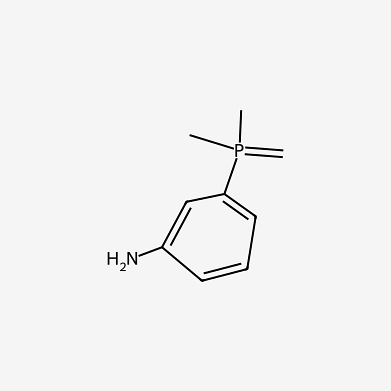 C=P(C)(C)c1cccc(N)c1